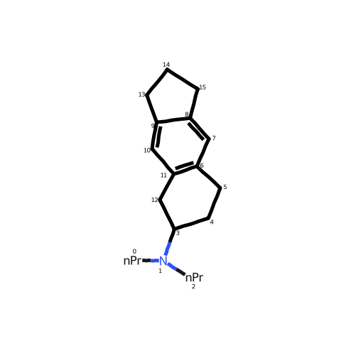 CCCN(CCC)C1CCc2cc3c(cc2C1)CCC3